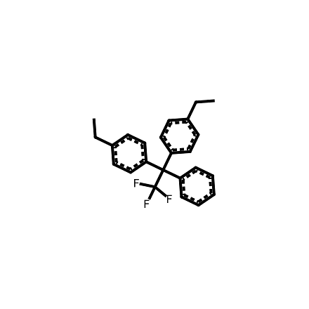 CCc1ccc(C(c2ccccc2)(c2ccc(CC)cc2)C(F)(F)F)cc1